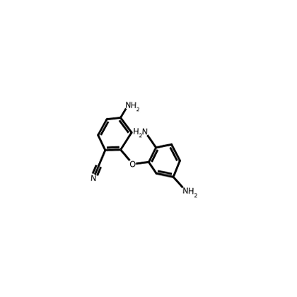 N#Cc1ccc(N)cc1Oc1cc(N)ccc1N